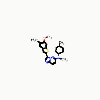 COc1cc2sc(-c3cnc4ccc(N(C)[C@H]5CC[C@H](C)CC5)nn34)cc2cc1C